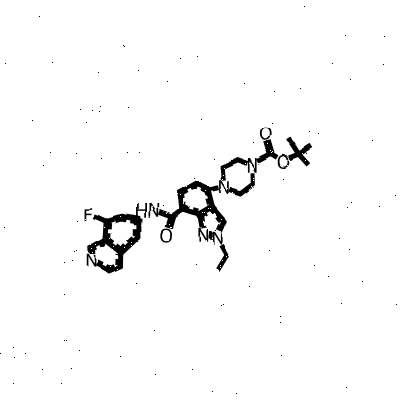 CCn1cc2c(N3CCN(C(=O)OC(C)(C)C)CC3)ccc(C(=O)Nc3cc(F)c4cnccc4c3)c2n1